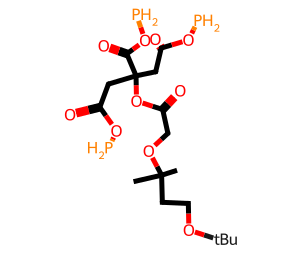 CC(C)(C)OCCC(C)(C)OCC(=O)OC(CC(=O)OP)(CC(=O)OP)C(=O)OP